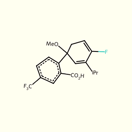 COC1(c2ccc(C(F)(F)F)cc2C(=O)O)C=C(C(C)C)C(F)=CC1